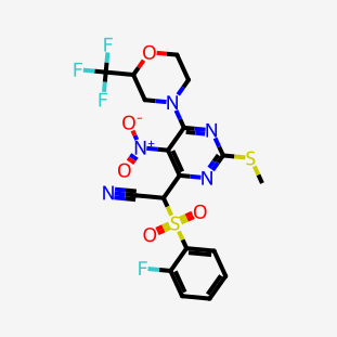 CSc1nc(C(C#N)S(=O)(=O)c2ccccc2F)c([N+](=O)[O-])c(N2CCOC(C(F)(F)F)C2)n1